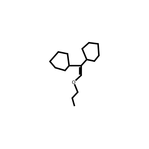 CCCOC=C(C1CCCCC1)C1CCCCC1